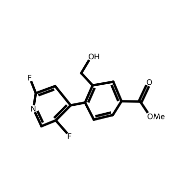 COC(=O)c1ccc(-c2cc(F)ncc2F)c(CO)c1